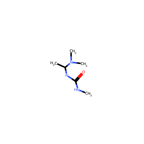 CNC(=O)[N]C(C)N(C)C